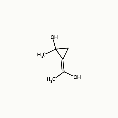 CC(O)=C1CC1(C)O